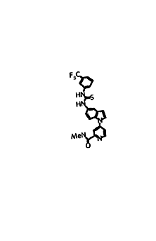 CNC(=O)c1cc(-n2ccc3cc(NC(=S)Nc4cccc(C(F)(F)F)c4)ccc32)ccn1